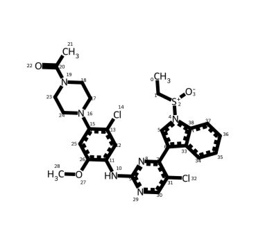 CC[S+]([O-])n1cc(-c2nc(Nc3cc(Cl)c(N4CCN(C(C)=O)CC4)cc3OC)ncc2Cl)c2ccccc21